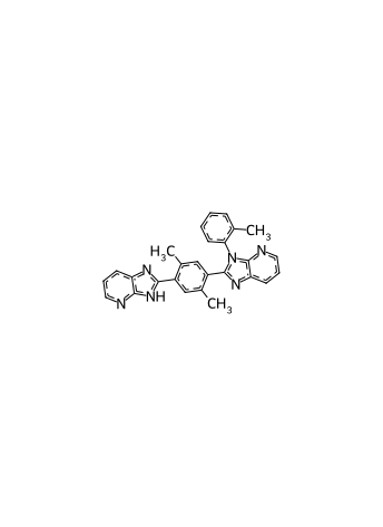 Cc1cc(-c2nc3cccnc3n2-c2ccccc2C)c(C)cc1-c1nc2cccnc2[nH]1